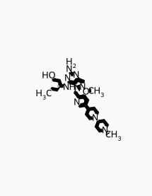 CCC[C@@H](CCO)Nc1nc(N)nc2cnn(Cc3ncc(C4CCN(C5CCN(C)CC5)CC4)cc3OC)c12